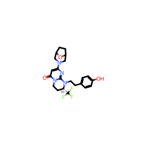 O=c1cc(N2CC3CCC(C2)O3)nc2n1CC[C@@H](C(F)(F)F)N2CCc1ccc(O)cc1